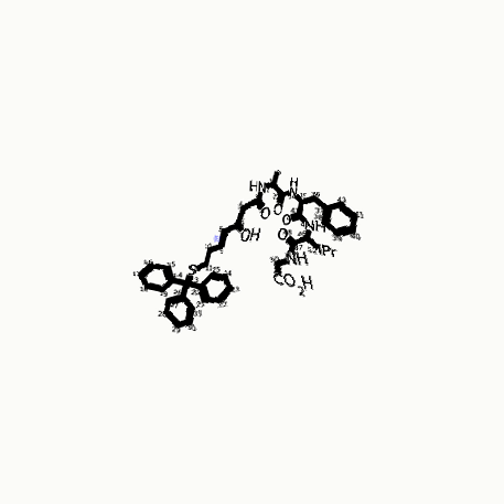 CC(NC(=O)CC(O)/C=C/CCSC(c1ccccc1)(c1ccccc1)c1ccccc1)C(=O)NC(Cc1ccccc1)C(=O)NC(C(=O)NCC(=O)O)C(C)C